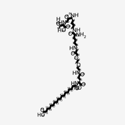 CN[C@@H](CCCCNC(=O)[C@@H](N)CCCCNCC(=O)COCCOCCNC(=O)CC[C@H](NC(=O)CCCCCCCCCCCCCCCCC(=O)O)C(=O)O)C(=O)CN[C@H](C(=O)O)[C@@H](C)O